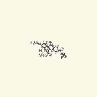 CC#Cc1cc(C)c(C2=C(OC(=O)OC)CC3(CCN(C(=O)COC(F)F)CC3)CC2=O)c(C)c1